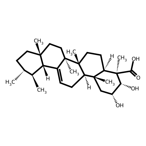 C[C@H]1[C@H](C)CC[C@]2(C)CC[C@]3(C)C(=CC[C@@H]4[C@@]5(C)C[C@@H](O)[C@@H](O)[C@](C)(C(=O)O)[C@@H]5CC[C@]43C)[C@H]12